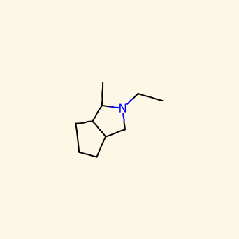 CCN1CC2CCCC2C1C